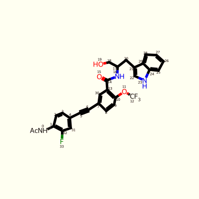 CC(=O)Nc1ccc(C#Cc2ccc(OC(F)(F)F)c(C(=O)NC(CO)Cc3c[nH]c4ccccc34)c2)cc1F